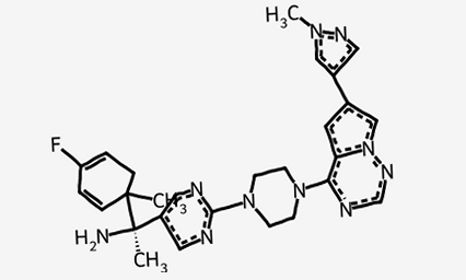 Cn1cc(-c2cc3c(N4CCN(c5ncc([C@@](C)(N)C6(C)C=CC(F)=CC6)cn5)CC4)ncnn3c2)cn1